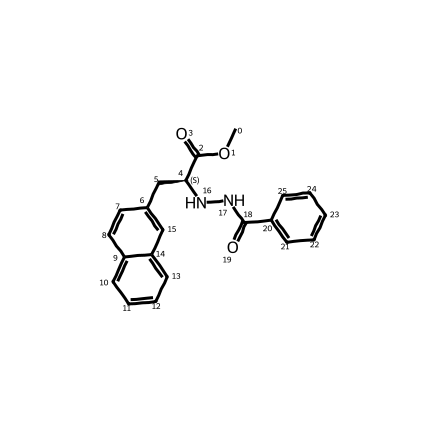 COC(=O)[C@H](Cc1ccc2ccccc2c1)NNC(=O)c1ccccc1